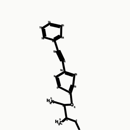 CCC(C)C(N)Oc1ccc(C#Cc2ccccc2)cc1